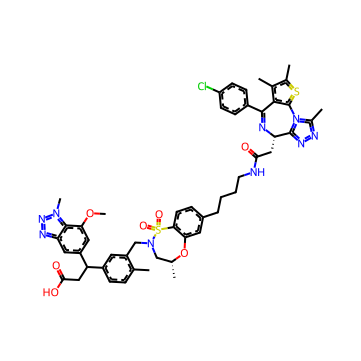 COc1cc(C(CC(=O)O)c2ccc(C)c(CN3C[C@@H](C)Oc4cc(CCCCNC(=O)C[C@@H]5N=C(c6ccc(Cl)cc6)c6c(sc(C)c6C)-n6c(C)nnc65)ccc4S3(=O)=O)c2)cc2nnn(C)c12